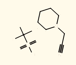 N#CCN1CCCCC1.O=S(=O)(O)C(F)(F)F